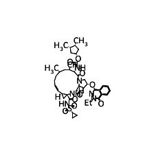 CCn1nc(O[C@@H]2C[C@H]3C(=O)N[C@]4(C(=O)NS(=O)(=O)C5CC5)C[C@H]4/C=C\CC[C@@H](C)C[C@@H](C)[C@H](NC(=O)O[C@H]4C[C@@H](C)[C@@H](C)C4)C(=O)N3C2)c2ccccc2c1=O